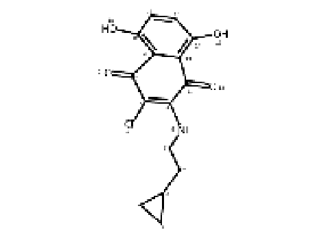 O=C1C(Cl)=C(NCCC2CC2)C(=O)c2c(O)ccc(O)c21